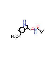 CCc1ccc2[nH]cc(CONC(=O)C3CC3)c2c1